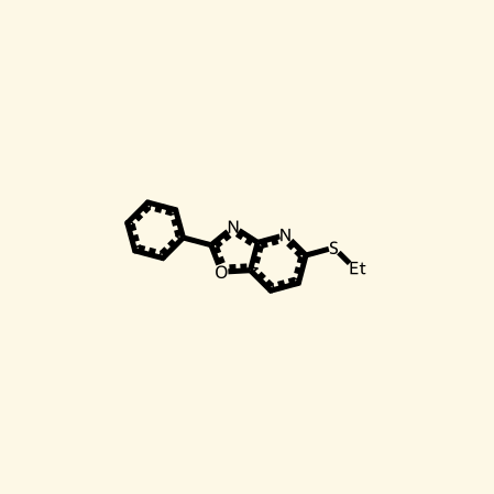 CCSc1ccc2oc(-c3ccccc3)nc2n1